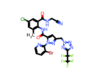 Cc1cc(Cl)cc(C(=O)NCC#N)c1NC(=O)c1cc(Cn2nnc(C(F)(F)C(F)(F)F)n2)nn1-c1ncccc1Br